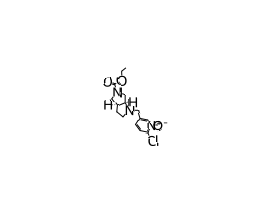 CCOC(=O)N1C[C@@H]2CCN(Cc3ccc(Cl)[n+]([O-])c3)[C@@H]2C1